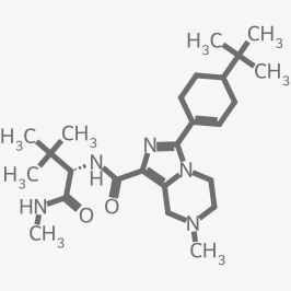 CNC(=O)[C@@H](NC(=O)c1nc(C2=CCC(C(C)(C)C)CC2)n2c1CN(C)CC2)C(C)(C)C